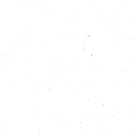 Cn1c(-c2cc3ccc(Cl)nc3n2CC2CC2)nc2cc(C(=O)N3C[C@H]4CC[C@@H]3[C@@H]4N)cc(F)c21